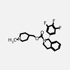 CN1CCC(COC(=O)N2CCc3ccccc3[C@H]2c2cc(F)c(F)c(F)c2)CC1